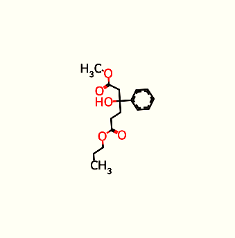 CCCOC(=O)CCC(O)(CC(=O)OC)c1ccccc1